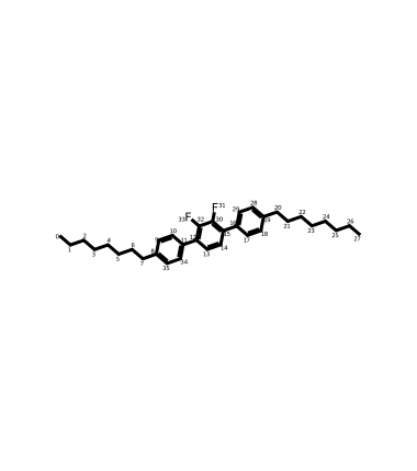 CCCCCCCCc1ccc(-c2ccc(-c3ccc(CCCCCCCC)cc3)c(F)c2F)cc1